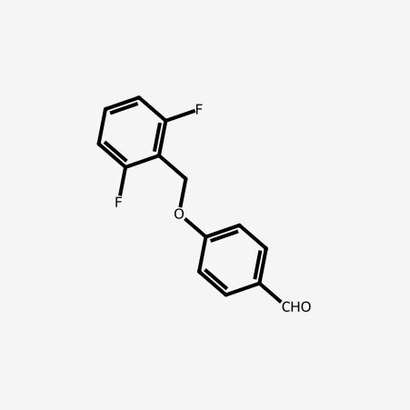 O=Cc1ccc(OCc2c(F)cccc2F)cc1